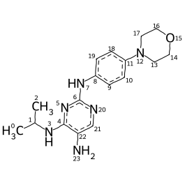 CC(C)Nc1nc(Nc2ccc(N3CCOCC3)cc2)ncc1N